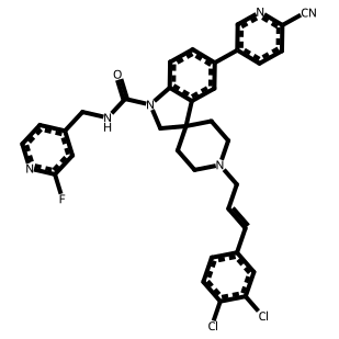 N#Cc1ccc(-c2ccc3c(c2)C2(CCN(CC=Cc4ccc(Cl)c(Cl)c4)CC2)CN3C(=O)NCc2ccnc(F)c2)cn1